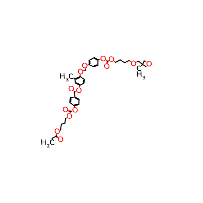 C=CC(=O)OCCCCOC(=O)Oc1ccc(C(=O)Oc2ccc(OCOc3ccc(OC(=O)OCCCCOCC4(C)COC4)cc3)c(C)c2)cc1